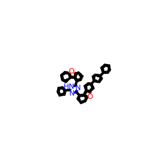 c1ccc(C2=NC(c3cccc4oc5cc(-c6ccc(-c7ccccc7)cc6)ccc5c34)=NC(c3cccc4oc5ccccc5c34)N2)cc1